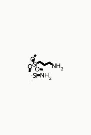 CO[Si](CCCN)(OC)OC.N[Si]